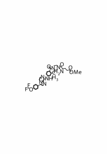 COC(=O)CC[C@H](N)C(=O)N1CCN(C(=O)c2ccc(Nc3nccn4c(-c5ccc(OC(F)F)cc5)cnc34)cc2C)CC1